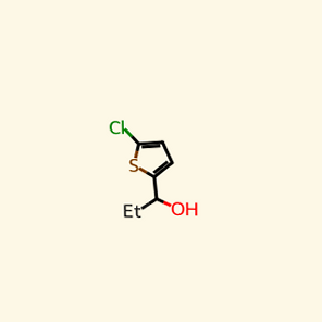 CCC(O)c1ccc(Cl)s1